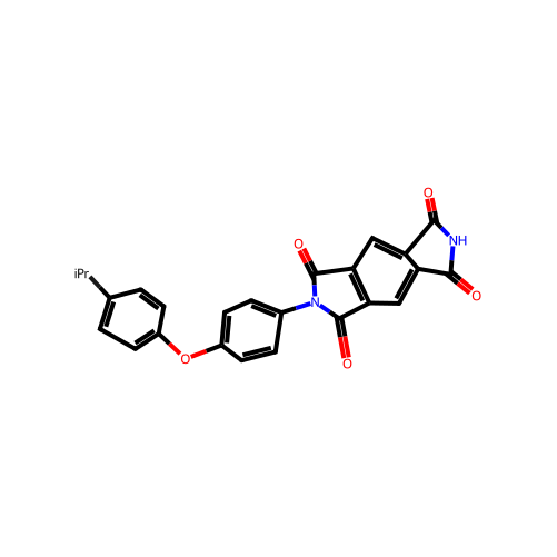 CC(C)c1ccc(Oc2ccc(-n3c(=O)c4cc5c(=O)[nH]c(=O)c5cc4c3=O)cc2)cc1